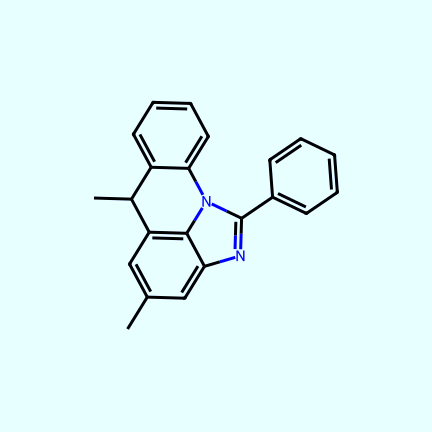 Cc1cc2c3c(c1)nc(-c1ccccc1)n3-c1ccccc1C2C